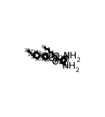 CCCCCC(OC(=O)c1cc(N)cc(N)c1)Oc1ccc([C@H]2CC[C@H](CCC)CC2)cc1